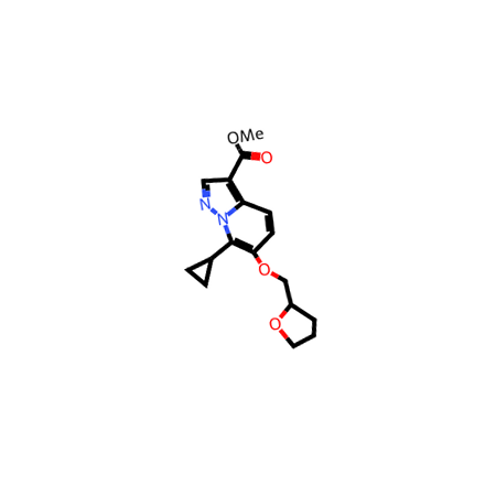 COC(=O)c1cnn2c(C3CC3)c(OCC3CCCO3)ccc12